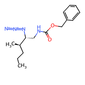 CCC[C@@H](C)[C@@H](CNC(=O)OCc1ccccc1)N=[N+]=[N-]